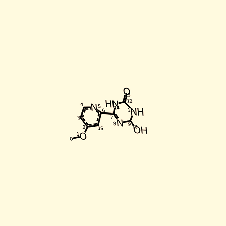 COc1ccnc(C2=NC(O)NC(=O)N2)c1